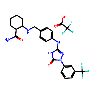 NC(=O)C1CCCCC1NCc1ccc(Nc2nn(-c3cccc(C(F)(F)F)c3)c(=O)[nH]2)cc1.O=C(O)C(F)(F)F